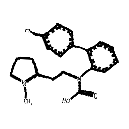 CN1CCCC1CCN(C(=O)O)c1ccccc1-c1ccc(Cl)cc1